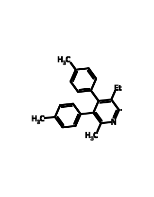 CCc1[c]nc(C)c(-c2ccc(C)cc2)c1-c1ccc(C)cc1